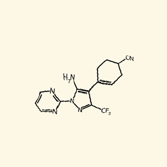 N#CC1CC=C(c2c(C(F)(F)F)nn(-c3ncccn3)c2N)CC1